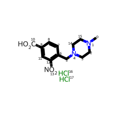 CN1CCN(Cc2ccc(C(=O)O)cc2[N+](=O)[O-])CC1.Cl.Cl